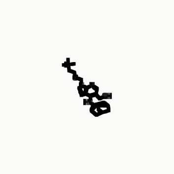 C[Si](C)(C)CCOCn1ccc2c(NC3C4CC5CC(C4)CC3C5)c(CO)cnc21